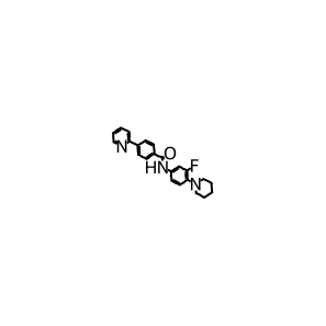 O=C(Nc1ccc(N2CCCCC2)c(F)c1)c1ccc(-c2ccccn2)cc1